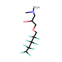 CN(CC(O)COCC(F)(F)C(F)(F)C(F)(F)C(F)F)S(=O)(=O)O